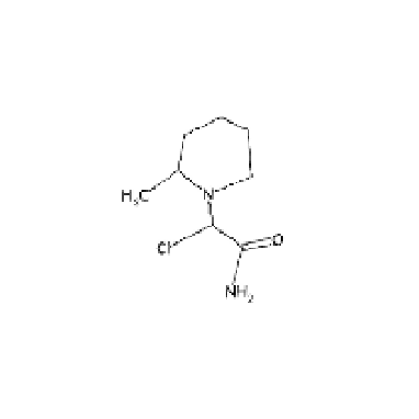 CC1CCCCN1C(Cl)C(N)=O